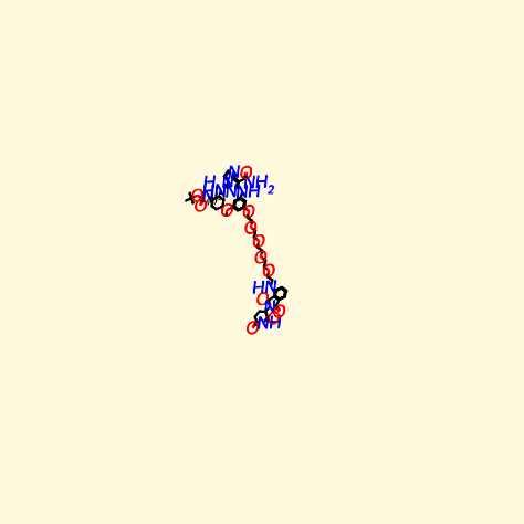 COc1cc(Nc2nc(N[C@H]3CCCC[C@H]3NC(=O)OC(C)(C)C)n3ccnc3c2C(N)=O)cc(OCCOCCOCCOCCOCCNc2cccc3c2C(=O)N(C2CCC(=O)NC2=O)C3=O)c1